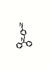 N#Cc1ccc(CN=C(c2ccccc2)c2ccccc2)cc1